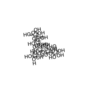 CC(=O)N[C@H]1[C@H](O[C@H]2[C@@H](O)[C@@H](CO)O[C@@H](O[C@H]3[C@H](O)[C@@H](O)[C@H](O)O[C@@H]3CO)[C@@H]2O)O[C@H](CO)[C@@H](O[C@@H]2O[C@H](CO)[C@H](O)[C@H](O[C@H]3O[C@H](CO)[C@H](O)[C@H](O)[C@H]3O)[C@H]2O)[C@@H]1O[C@@H]1O[C@@H](C)[C@@H](O)[C@@H](O)[C@@H]1O